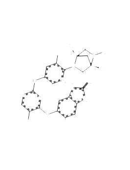 Cc1cnc(Nc2cnc(N3C[C@@H]4C[C@H]3CN4C)c(C)c2)nc1Nc1ccc2oc(=O)[nH]c2c1